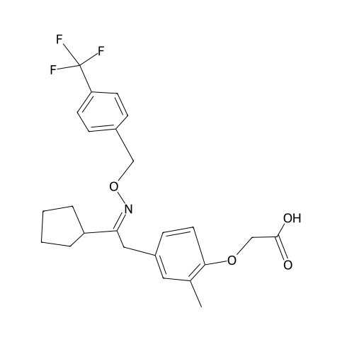 Cc1cc(CC(=NOCc2ccc(C(F)(F)F)cc2)C2CCCC2)ccc1OCC(=O)O